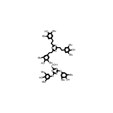 CC(C)(C)c1cc(CCc2nc(CCc3cc(C(C)(C)C)c(O)c(C(C)(C)C)c3)nc(CCc3cc(C(C)(C)C)c(O)c(C(C)(C)C)c3)n2)cc(C(C)(C)C)c1O.CCCCCCCCSc1nc(Oc2cc(C(C)(C)C)c(O)c(C(C)(C)C)c2)nc(Oc2cc(C(C)(C)C)c(O)c(C(C)(C)C)c2)n1